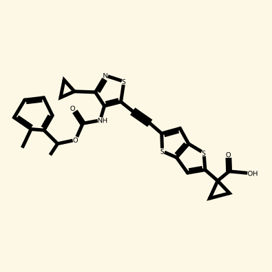 Cc1ccccc1C(C)OC(=O)Nc1c(C2CC2)nsc1C#Cc1cc2sc(C3(C(=O)O)CC3)cc2s1